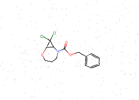 O=C(OCc1ccccc1)N1CCCOC2C1C2(Cl)Cl